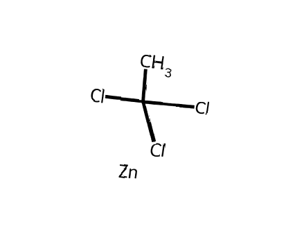 CC(Cl)(Cl)Cl.[Zn]